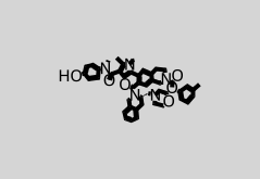 Cc1cccc(OC(=O)N2CCc3cc(-c4cc(C(=O)N(C)c5ccc(O)cc5)c(C)n4C)c(C(=O)N4Cc5ccccc5C[C@H]4CN4CCOCC4)cc3C2)c1